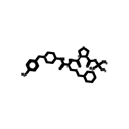 Cc1ccc(CN2CCC(NC(=O)[C@H](CSCC3CCCCC3)NC(=O)[C@@H]3CSCN3C(=O)OC(C)(C)C)CC2)cc1